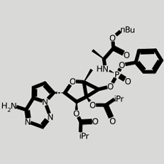 CCCCOC(=O)[C@H](C)N[P@@](=O)(Oc1ccccc1)OC1[C@@]2(C)O[C@@H](c3ccc4c(N)ncnn34)[C@H](OC(=O)C(C)C)[C@@]12OC(=O)C(C)C